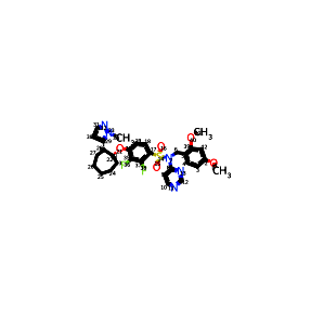 COc1ccc(CN(c2ccncn2)S(=O)(=O)c2ccc(O[C@H]3CCCCC[C@@H]3c3ccnn3C)c(F)c2F)c(OC)c1